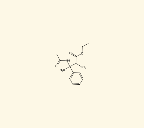 BC(C(=O)OCC)C(B)(NC(C)=O)c1ccccc1